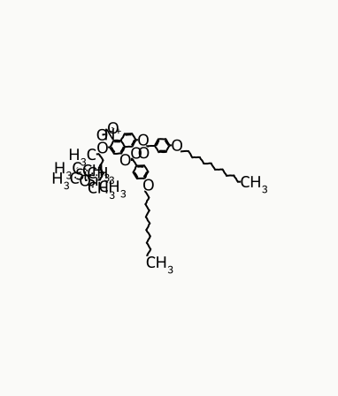 CCCCCCCCCCCCOc1ccc(C(=O)Oc2ccc3c([N+](=O)[O-])c(OC(C)CCC[C@@H](C)[Si](C)(C)O[Si](C)(C)C)ccc3c2OC(=O)c2ccc(OCCCCCCCCCCCC)cc2)cc1